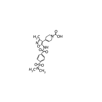 Cc1noc(NS(=O)(=O)c2ccc(S(=O)(=O)N(C)C)cc2)c1C1=CCN(C(=O)O)CC1